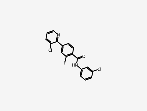 O=C(Nc1cccc(Cl)c1)c1ccc(-c2ncccc2Cl)cc1F